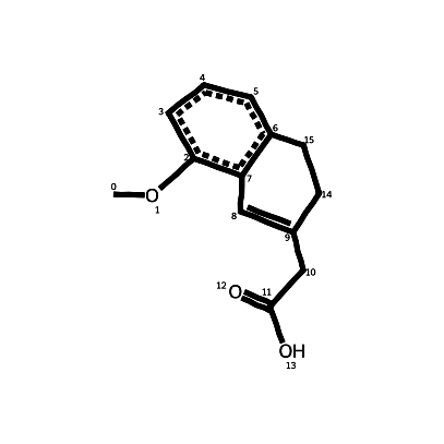 COc1cccc2c1C=C(CC(=O)O)CC2